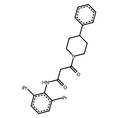 CC(C)c1cccc(C(C)C)c1NC(=O)CC(=O)N1CCC(c2ccccc2)CC1